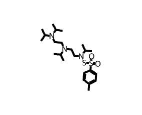 Cc1ccc(S(=O)(=O)SN(CCN(CCN(C(C)C)C(C)C)C(C)C)C(C)C)cc1